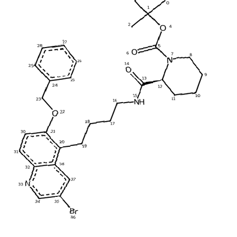 CC(C)(C)OC(=O)N1CCCC[C@H]1C(=O)NCCCCc1c(OCc2ccccc2)ccc2ncc(Br)cc12